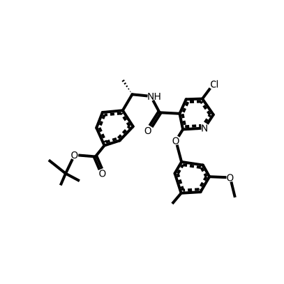 COc1cc(C)cc(Oc2ncc(Cl)cc2C(=O)N[C@@H](C)c2ccc(C(=O)OC(C)(C)C)cc2)c1